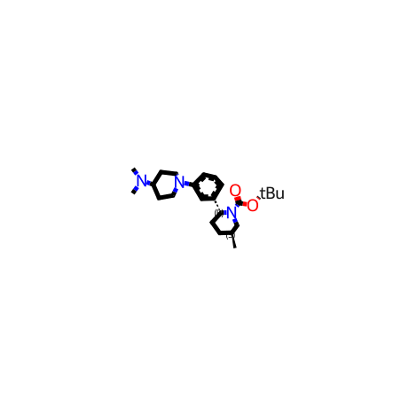 C[C@H]1CC[C@H](c2cccc(N3CCC(N(C)C)CC3)c2)N(C(=O)OC(C)(C)C)C1